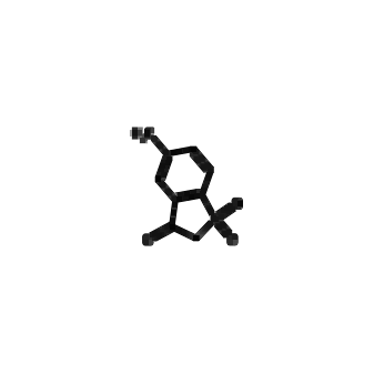 [CH2]c1ccc2c(c1)C(=O)CS2(=O)=O